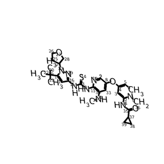 C=N/C(=C\C(=C/C)Oc1cnc(NC(=S)Nc2cc(C(C)(C)C)n([C@H]3CCOC3)n2)c(NC)c1)NC(=O)C1CC1